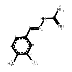 Cc1ccc(C=NNC(=N)N)cc1C